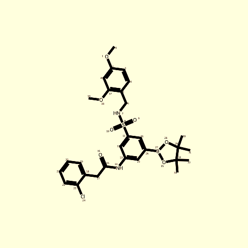 COc1ccc(CNS(=O)(=O)c2cc(NC(=O)Cc3ccccc3Cl)cc(B3OC(C)(C)C(C)(C)O3)c2)c(OC)c1